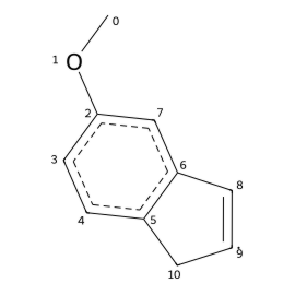 COc1ccc2c(c1)C=[C]C2